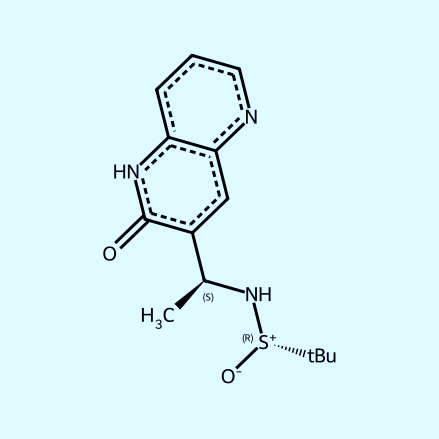 C[C@H](N[S@@+]([O-])C(C)(C)C)c1cc2ncccc2[nH]c1=O